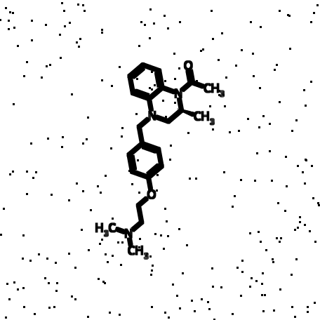 CC(=O)N1c2ccccc2N(Cc2ccc(OCCN(C)C)cc2)C[C@@H]1C